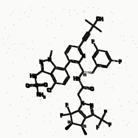 C[C@@H]1c2c(C(F)(F)F)nn(CC(=O)N[C@@H](Cc3cc(F)cc(F)c3)c3nc(C#CC(C)(C)O)ccc3-c3ccc(Cl)c4c(NS(N)(=O)=O)nn(C)c34)c2C(F)(F)[C@@H]1C